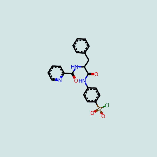 O=C(NC(Cc1ccccc1)C(=O)Nc1ccc(S(=O)(=O)Cl)cc1)c1ccccn1